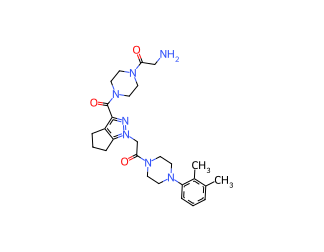 Cc1cccc(N2CCN(C(=O)Cn3nc(C(=O)N4CCN(C(=O)CN)CC4)c4c3CCC4)CC2)c1C